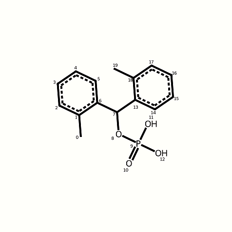 Cc1ccccc1C(OP(=O)(O)O)c1ccccc1C